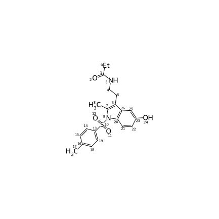 CCC(=O)NCCc1c(C)n(S(=O)(=O)c2ccc(C)cc2)c2ccc(O)cc12